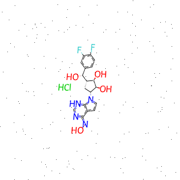 Cl.O/N=c1\nc[nH]c2c1ccn2[C@@H]1C[C@H]([C@H](O)c2ccc(F)c(F)c2)[C@@H](O)[C@H]1O